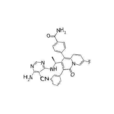 C[C@H](Nc1ncnc(N)c1C#N)c1c(-c2ccccc2)c(=O)n2cc(F)ccc2c1-c1ccc(C(N)=O)cc1